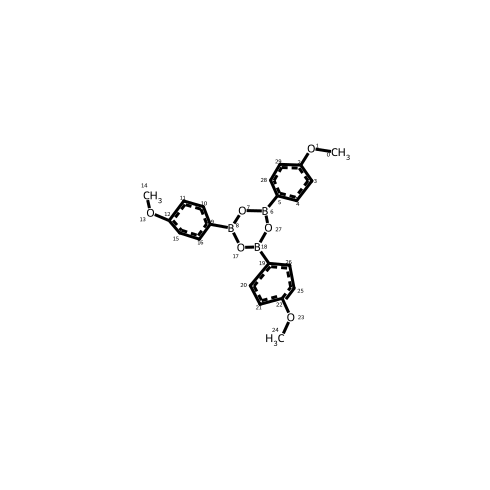 COc1ccc(B2OB(c3ccc(OC)cc3)OB(c3ccc(OC)cc3)O2)cc1